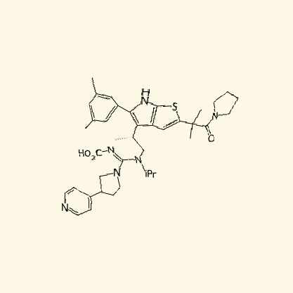 Cc1cc(C)cc(-c2[nH]c3sc(C(C)(C)C(=O)N4CCCC4)cc3c2[C@@H](C)CN(C(=NC(=O)O)N2CCC(c3ccncc3)C2)C(C)C)c1